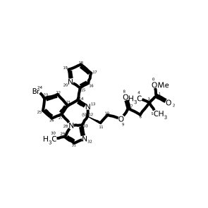 COC(=O)C(C)(C)CC(=O)OCC[C@@H]1N=C(c2ccccn2)c2cc(Br)ccc2-n2c(C)cnc21